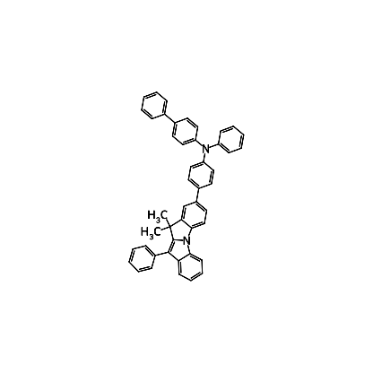 CC1(C)c2cc(-c3ccc(N(c4ccccc4)c4ccc(-c5ccccc5)cc4)cc3)ccc2-n2c1c(-c1ccccc1)c1ccccc12